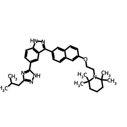 CC(C)Cc1n[nH]c(-c2ccc3[nH]nc(-c4ccc5cc(OCCN6C(C)(C)CCCC6(C)C)ccc5c4)c3c2)n1